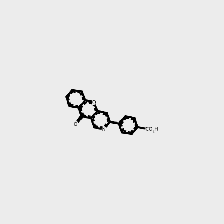 O=C(O)c1ccc(-c2cc3oc4ccccc4c(=O)c3cn2)cc1